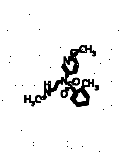 CCNCCN(c1ccc(OC)nc1)S(=O)(=O)c1ccccc1C